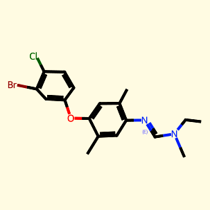 CCN(C)/C=N/c1cc(C)c(Oc2ccc(Cl)c(Br)c2)cc1C